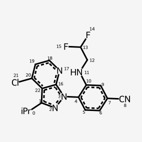 CC(C)c1nn(-c2ccc(C#N)cc2NCC(F)F)c2nccc(Cl)c12